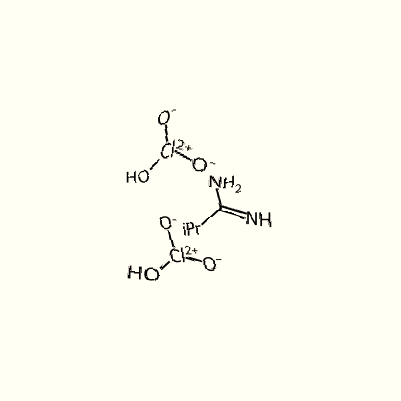 CC(C)C(=N)N.[O-][Cl+2]([O-])O.[O-][Cl+2]([O-])O